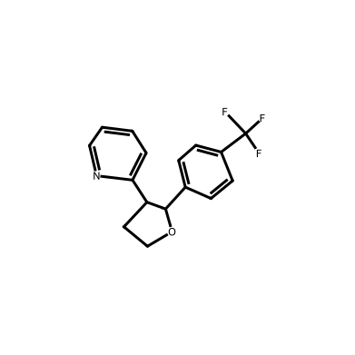 FC(F)(F)c1ccc([C]2OCCC2c2ccccn2)cc1